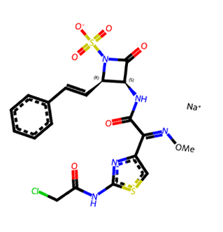 CON=C(C(=O)N[C@@H]1C(=O)N(S(=O)(=O)[O-])[C@@H]1C=Cc1ccccc1)c1csc(NC(=O)CCl)n1.[Na+]